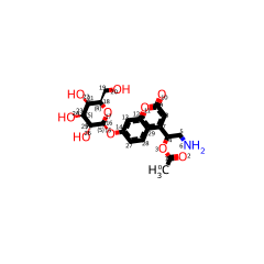 CC(=O)OC(CN)c1cc(=O)oc2cc(O[C@@H]3O[C@H](CO)[C@H](O)[C@H](O)[C@H]3O)ccc12